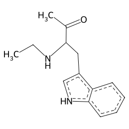 CCNC(Cc1c[nH]c2ccccc12)C(C)=O